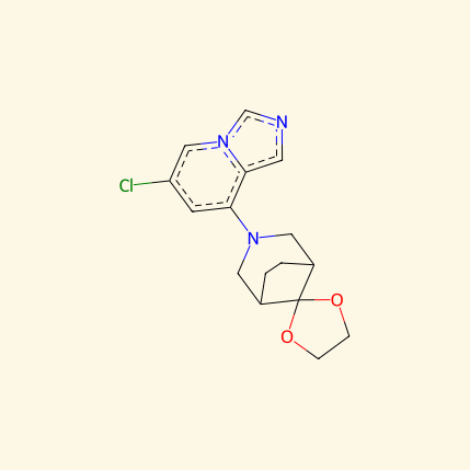 Clc1cc(N2CC3CCC(C2)C32OCCO2)c2cncn2c1